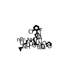 CCC[C@H](NC(=O)[C@@H]1C[C@]2(CC(c3c(F)cccc3Cl)=NO2)CN1C(=O)[C@@H](NC(=O)O[C@H]1CCOC1)C(C)(C)C)C(=O)C(=O)NC1CC1